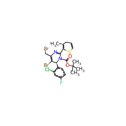 CC1=C(C2=NC(CBr)=C(Br)[C@H](c3ccc(F)cc3Cl)N2C(=O)OC(C)(C)C)SC=CC1